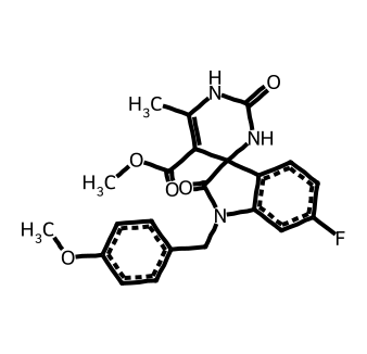 COC(=O)C1=C(C)NC(=O)NC12C(=O)N(Cc1ccc(OC)cc1)c1cc(F)ccc12